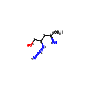 [N-]=[N+]=NC(CO)CC(=N)C(=O)O